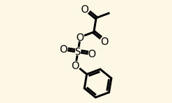 CC(=O)C(=O)OS(=O)(=O)Oc1ccccc1